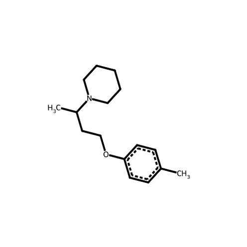 Cc1ccc(OCCC(C)N2CCCCC2)cc1